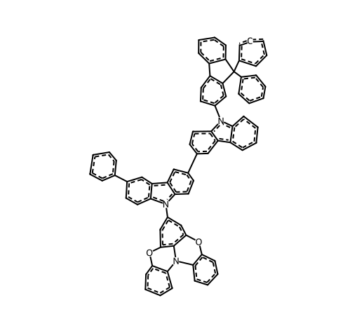 c1ccc(-c2ccc3c(c2)c2cc(-c4ccc5c(c4)c4ccccc4n5-c4ccc5c(c4)C(c4ccccc4)(c4ccccc4)c4ccccc4-5)ccc2n3-c2cc3c4c(c2)Oc2ccccc2N4c2ccccc2O3)cc1